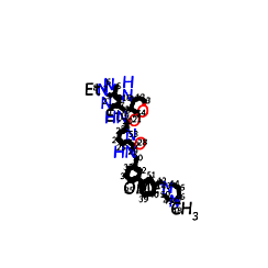 CCc1nc2c(cnn2CC)c(NC2CCOCC2)c1CNC(=O)c1cccc(C(=O)NCc2ccc(OC)c(-c3cccc(CN4CCCN(C)CC4)c3)c2)n1